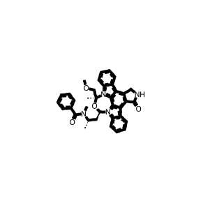 COC[C@]1(C)O[C@H](C[C@H](C)N(C)C(=O)c2ccccc2)n2c3ccccc3c3c4c(c5c6ccccc6n1c5c32)CNC4=O